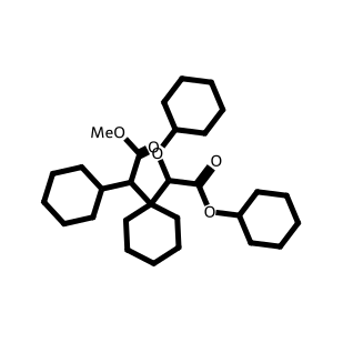 COC(=O)C(C1CCCCC1)C1(C(OC2CCCCC2)C(=O)OC2CCCCC2)CCCCC1